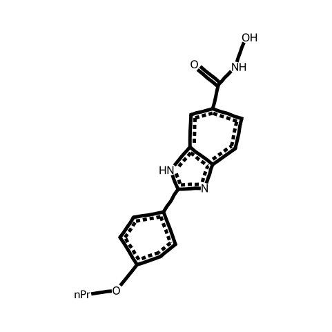 CCCOc1ccc(-c2nc3ccc(C(=O)NO)cc3[nH]2)cc1